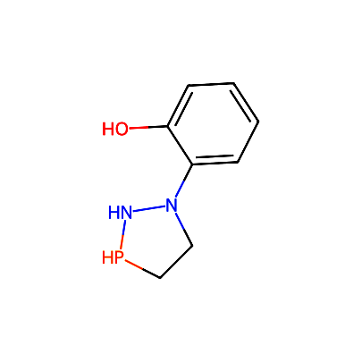 Oc1ccccc1N1CCPN1